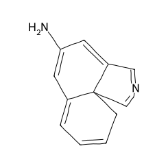 NC1=CC2=CC=CCC23C=CN=CC3=C1